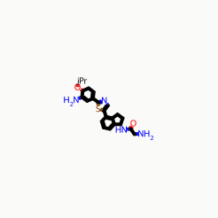 CC(C)OC1CC=C(c2ncc(-c3cccc4c3CC[C@@H]4NC(=O)CN)s2)C=C1N